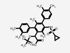 Cc1ccc(-c2c(C)c(-c3ccc(C)c(C)c3)c(C(OC(C)(C)C)C(=O)O)c(C)c2NS(=O)(=O)C2CC2)cc1C